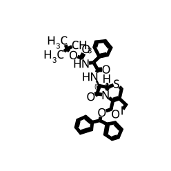 CC(C)(C)OC(=O)NC(C(=O)N[C@@H]1C(=O)N2C(C(=O)OC(c3ccccc3)c3ccccc3)=C(CI)CS[C@@H]12)c1ccccc1